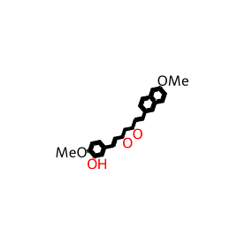 COc1ccc2cc(C=CC(=O)CC(=O)C=Cc3ccc(OC)c(O)c3)ccc2c1